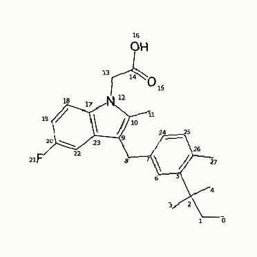 CCC(C)(C)c1cc(Cc2c(C)n(CC(=O)O)c3ccc(F)cc23)ccc1C